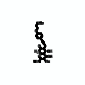 CNC(=O)[C@@H](N(O)C(=O)[C@@H](O)C(CC#Cc1ccc(OCCOC)cc1)C(N)=O)C(C)(C)C